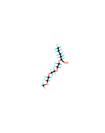 OCC(F)(OC(F)(F)C(F)(F)OC(F)(F)C(F)(F)OC(F)(F)C(F)(F)OC(F)(F)F)C(F)(F)C(F)(F)C(F)(F)C(F)(F)F